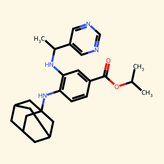 CC(C)OC(=O)c1ccc(NC23CC4CC(CC(C4)C2)C3)c(NC(C)c2cncnc2)c1